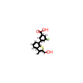 Cc1c(CO)sc2c(-c3cc(F)cc(C(=O)O)c3)cccc12